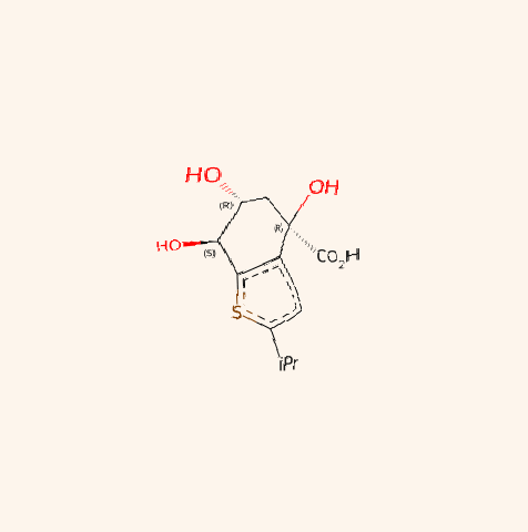 CC(C)c1cc2c(s1)[C@@H](O)[C@H](O)C[C@]2(O)C(=O)O